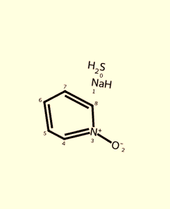 S.[NaH].[O-][n+]1ccccc1